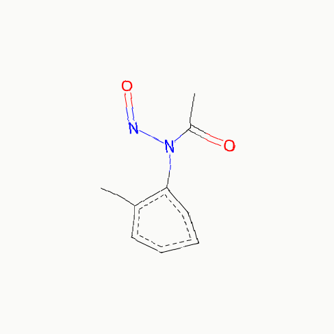 CC(=O)N(N=O)c1ccccc1C